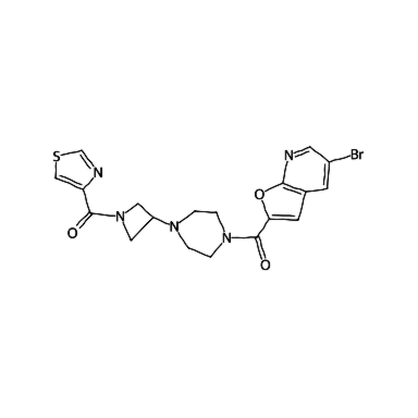 O=C(c1cscn1)N1CC(N2CCN(C(=O)c3cc4cc(Br)cnc4o3)CC2)C1